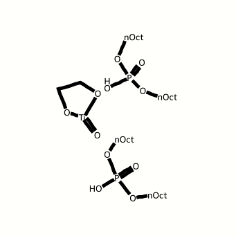 CCCCCCCCOP(=O)(O)OCCCCCCCC.CCCCCCCCOP(=O)(O)OCCCCCCCC.[O]=[Ti]1[O]CC[O]1